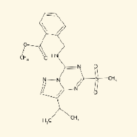 COC(=O)c1ccccc1CNc1nc(S(C)(=O)=O)nc2c(C(C)C)cnn12